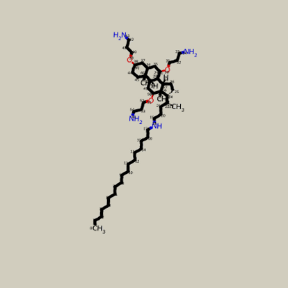 CCCCCCCCCCCCCCCCCCNCCC[C@@H](C)[C@H]1CC[C@H]2C3[C@H](OCCCN)CC4C[C@H](OCCCN)CCC4(C)[C@H]3C[C@H](OCCCN)C12C